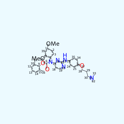 COc1ccc(N(C(=O)Oc2c(C)cccc2C)c2ccnc(Nc3ccc(OCCCN(C)C)cc3)n2)c(OC)c1